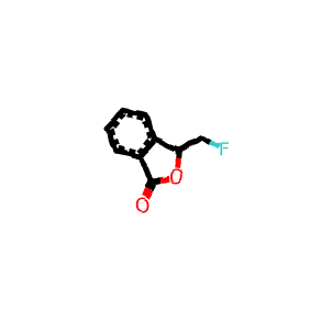 O=C1OC(CF)c2ccccc21